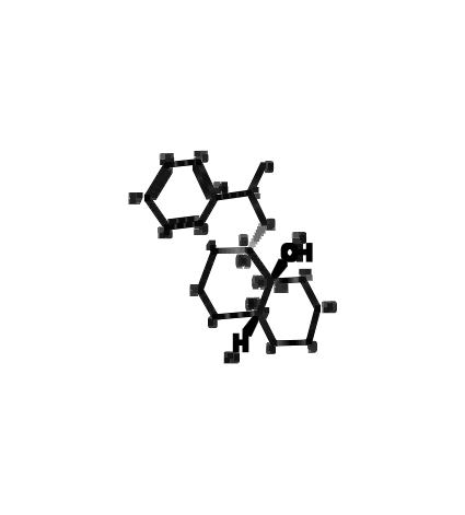 CC(C[C@H]1CCC[C@H]2CCCC[C@]21O)c1ccccc1